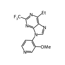 CCc1nc(C(F)(F)F)nc2c1ncn2-c1ccncc1OC